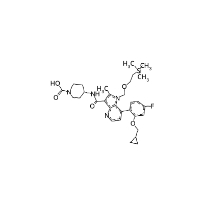 Cc1c(C(=O)NC2CCN(C(=O)O)CC2)c2nccc(-c3ccc(F)cc3OCC3CC3)c2n1COCC[Si](C)(C)C